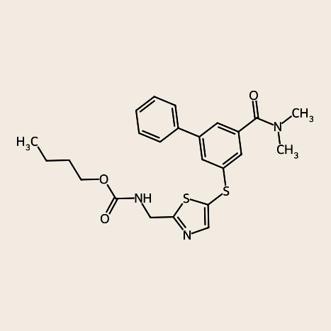 CCCCOC(=O)NCc1ncc(Sc2cc(C(=O)N(C)C)cc(-c3ccccc3)c2)s1